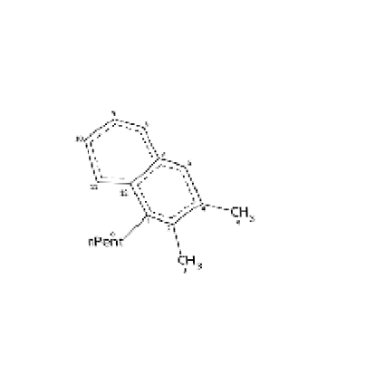 CCCCCc1c(C)c(C)cc2ccccc12